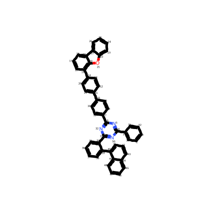 c1ccc(-c2nc(-c3ccc(-c4ccc(-c5cccc6c5oc5ccccc56)cc4)cc3)nc(-c3ccccc3-c3cccc4ccccc34)n2)cc1